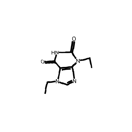 CCn1cnc2c1c(=O)[nH]c(=O)n2CC